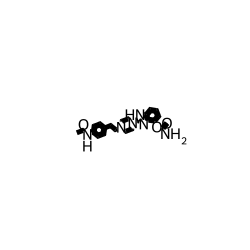 CC(=O)Nc1ccc(CCN2CCN(c3nc4c(OC(N)=O)cccc4[nH]3)CC2)cc1